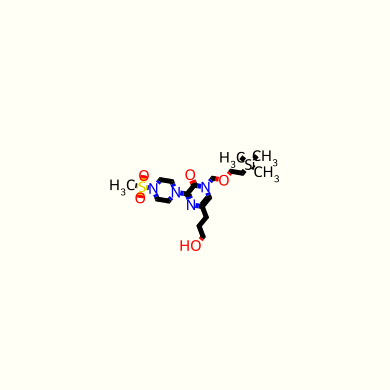 C[Si](C)(C)CCOCn1cc(CCCO)nc(N2CCN(S(C)(=O)=O)CC2)c1=O